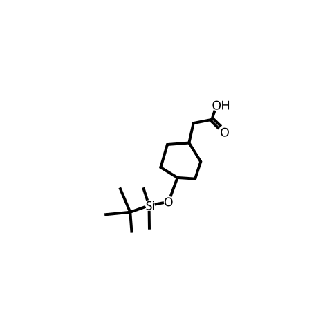 CC(C)(C)[Si](C)(C)OC1CCC(CC(=O)O)CC1